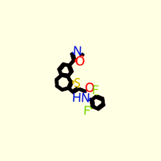 O=C(Nc1c(F)cccc1F)c1cc2c(s1)-c1cc(-c3cnco3)ccc1CCC2